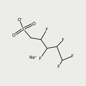 O=S(=O)([O-])CC(F)C(F)C(F)C(F)F.[Na+]